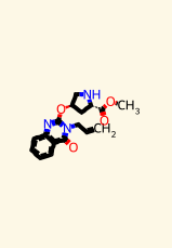 C=CCn1c(O[C@H]2CN[C@H](C(=O)OC)C2)nc2ccccc2c1=O